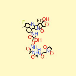 CC[C@@]1(O)COCc2c1cc1n(c2=O)Cc2c-1nc1cc(F)c(C)c3c1c2[C@@H](NC(=O)C(C)(O)COCNC(=O)[C@H](C)NC(=O)[C@H](C)NC(=O)CCN1C(=O)C=CC1=O)CC3